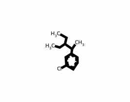 CCC(CC)C(C)c1cccc(Cl)c1